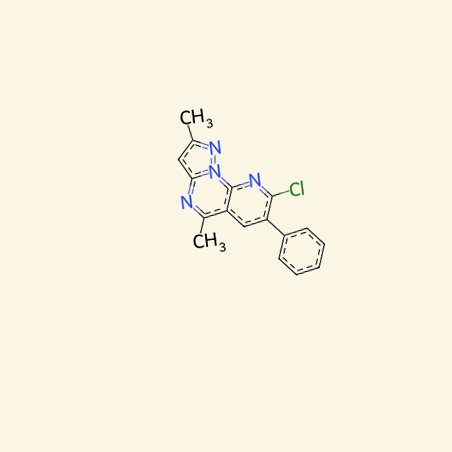 Cc1cc2nc(C)c3cc(-c4ccccc4)c(Cl)nc3n2n1